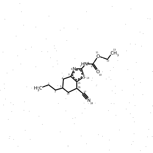 CCCC1Cc2nc(NC(=O)OCC)sc2C(C#N)C1